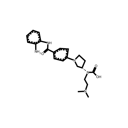 CN(C)CCN(C(=O)O)[C@H]1CCN(c2ccc(C(=O)Nc3ccccc3N)cc2)C1